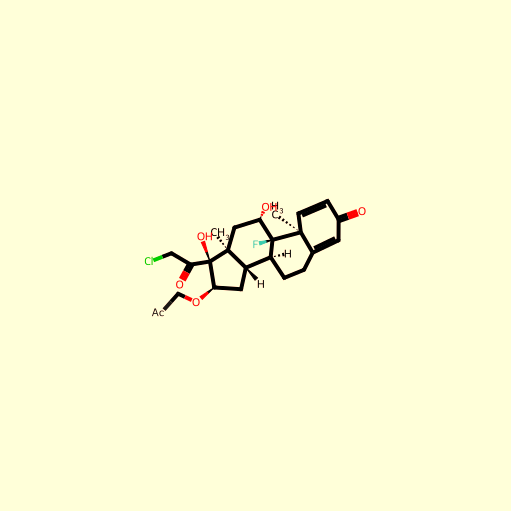 CC(=O)CO[C@@H]1C[C@H]2[C@@H]3CCC4=CC(=O)C=C[C@]4(C)[C@@]3(F)[C@@H](O)C[C@]2(C)[C@@]1(O)C(=O)CCl